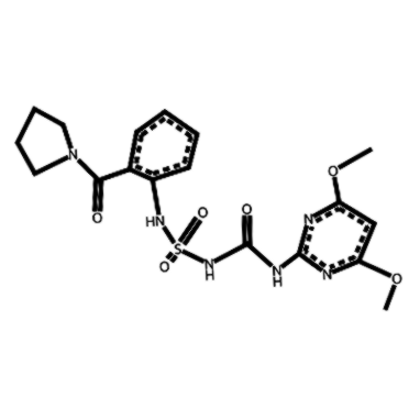 COc1cc(OC)nc(NC(=O)NS(=O)(=O)Nc2ccccc2C(=O)N2CCCC2)n1